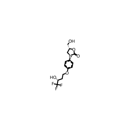 O=C1O[C@@H](CO)CN1c1ccc(OCC[C@@H](O)C(F)(F)F)cc1